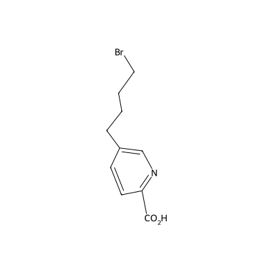 O=C(O)c1ccc(CCCCBr)cn1